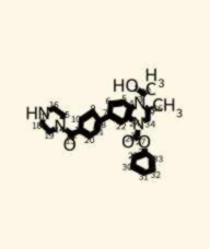 CC(O)N1c2ccc(-c3ccc(C(=O)N4CCNCC4)cc3)cc2N(C(=O)Oc2ccccc2)C[C@@H]1C